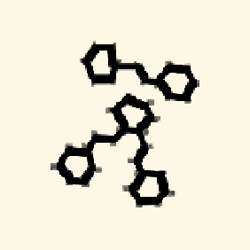 C(=C\c1ccccc1)/c1ccccc1.C(=C\c1ccccc1/C=C/c1ccccc1)/c1ccccc1